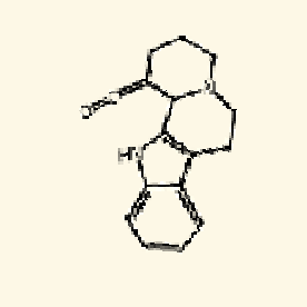 O=C=C1CCCN2CCc3c([nH]c4ccccc34)C12